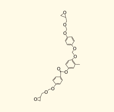 Cc1cc(OC(=O)c2ccc(OCOCC3CO3)cc2)ccc1OCOc1ccc(OCOCC2CO2)cc1